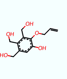 C=CCOc1c(O)cc(CO)c(CO)c1CO